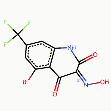 O=C1Nc2cc(C(F)(F)F)cc(Br)c2C(=O)/C1=N/O